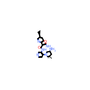 C[C@@H]1C[C@H](N)CN(c2ccncc2NC(=O)c2c(N)oc3cc(C4CC4)cnc23)C1